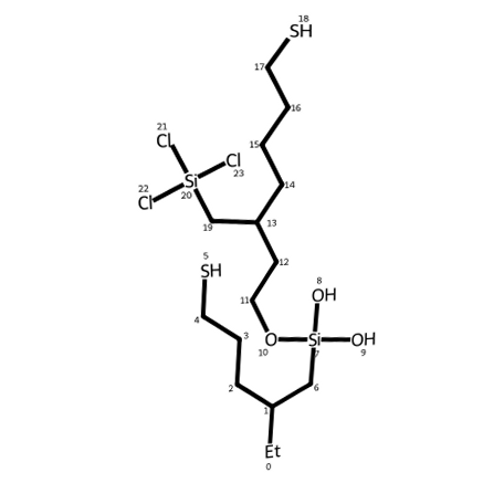 CCC(CCCS)C[Si](O)(O)OCCC(CCCCS)C[Si](Cl)(Cl)Cl